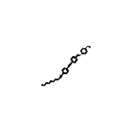 CCCCCCCCC#Cc1ccc(C#Cc2ccc(CC[C@H]3CC[C@H](CC)CC3)cc2)cc1